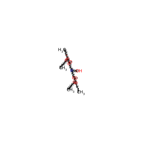 CCC=CCC=CCCOC(CCC(=O)OCCCCCCN(CCCCO)CCCCCCOC(=O)CCC(OCCC=CCC=CCC)OCC/C=C/C/C=C/CC)OCCC=CC/C=C/CC